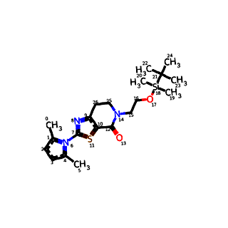 Cc1ccc(C)n1-c1nc2c(s1)C(=O)N(CCO[Si](C)(C)C(C)(C)C)CC2